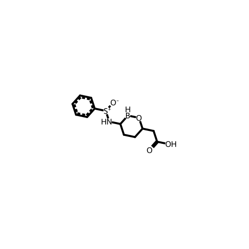 O=C(O)CC1CCC(N[S+]([O-])c2ccccc2)BO1